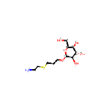 NCCSCCCO[C@H]1OC(CO)[C@@H](O)[C@H](O)C1O